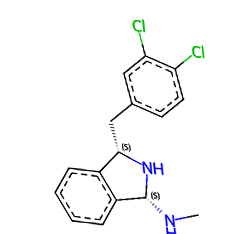 CN[C@H]1N[C@@H](Cc2ccc(Cl)c(Cl)c2)c2ccccc21